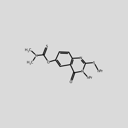 CCCSc1nc2ccc(OC(=S)N(C)C)cc2c(=O)n1CCC